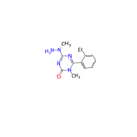 CCc1ccccc1-c1nc(N(C)N)nc(=O)n1C